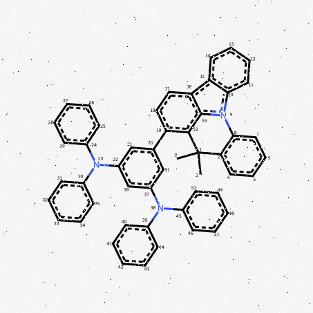 CC1(C)c2ccccc2-n2c3ccccc3c3ccc(-c4cc(N(c5ccccc5)c5ccccc5)cc(N(c5ccccc5)c5ccccc5)c4)c1c32